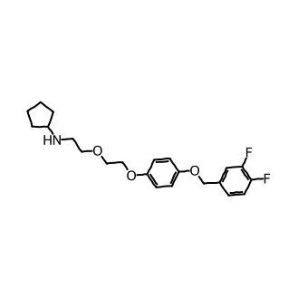 Fc1ccc(COc2ccc(OCCOCCNC3CCCC3)cc2)cc1F